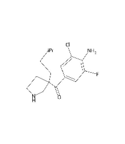 CC(C)CCC1(C(=O)c2cc(F)c(N)c(Cl)c2)CCNC1